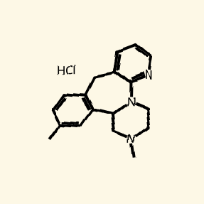 Cc1ccc2c(c1)C1CN(C)CCN1c1ncccc1C2.Cl